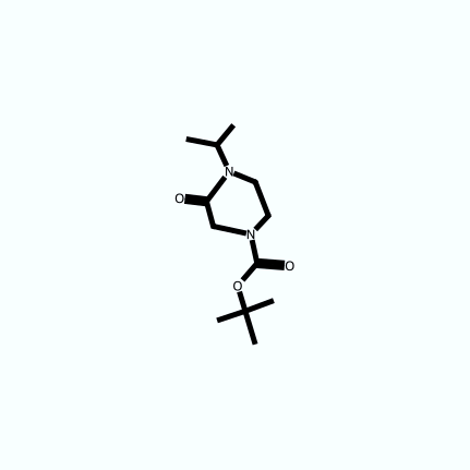 CC(C)N1CCN(C(=O)OC(C)(C)C)CC1=O